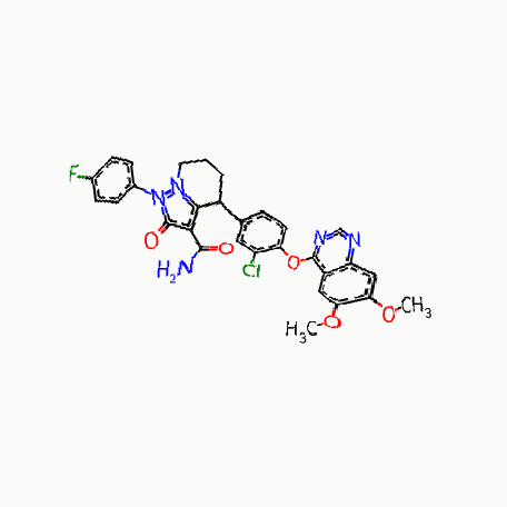 COc1cc2ncnc(Oc3ccc(C4CCCn5c4c(C(N)=O)c(=O)n5-c4ccc(F)cc4)cc3Cl)c2cc1OC